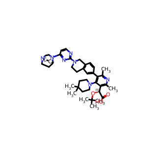 Cc1nc(C)c([C@H](OC(C)(C)C)C(=O)O)c(N2CCC(C)(C)CC2)c1-c1ccc2c(c1)CCN(c1nccc(N3CCN4CCC3CC4)n1)C2